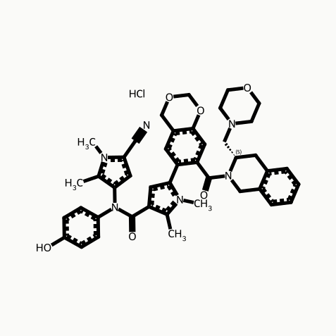 Cc1c(N(C(=O)c2cc(-c3cc4c(cc3C(=O)N3Cc5ccccc5C[C@H]3CN3CCOCC3)OCOC4)n(C)c2C)c2ccc(O)cc2)cc(C#N)n1C.Cl